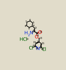 Cl.N[C@@H](CC1CCCCC1)C(=O)OCc1cc(Cl)nc(Cl)c1